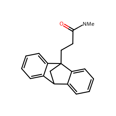 CNC(=O)CCC12CC(c3ccccc31)c1ccccc12